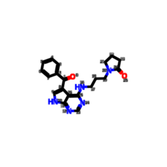 O=C(c1ccccc1)c1c[nH]c2ncnc(NCCCN3CCCC3=O)c12